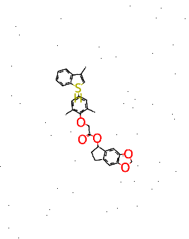 CC1=C[SH](c2cc(C)c(OCC(=O)OC3CCc4cc5c(cc43)OCO5)c(C)c2)c2ccccc21